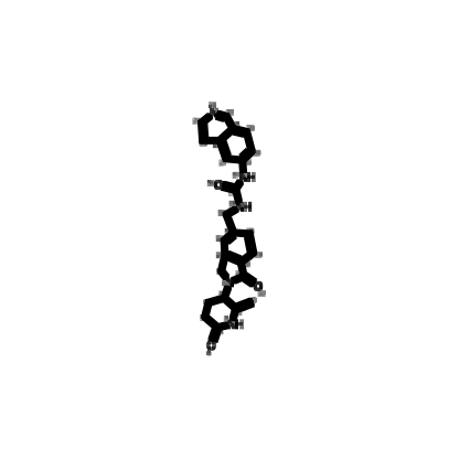 C=C1NC(=O)CCC1N1Cc2cc(CNC(=O)Nc3ccc4cnccc4c3)ccc2C1=O